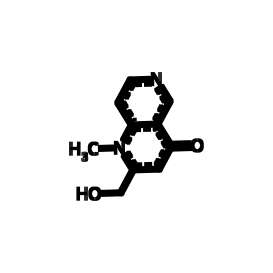 Cn1c(CO)cc(=O)c2cnccc21